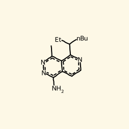 CCCCC(CC)c1nccc2c(N)nnc(C)c12